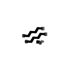 [Mg+2].[O-]CCCCCl.[O-]CCCCCl